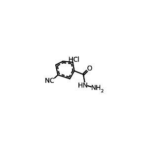 Cl.N#Cc1cccc(C(=O)NN)c1